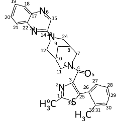 Cc1nc(C(=O)N2CC3CC(C2)CN(c2cnc4ccccc4n2)C3)c(-c2ccccc2C)s1